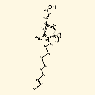 CCCCCCCCCOc1c(OC)cc(C=CCO)cc1OC